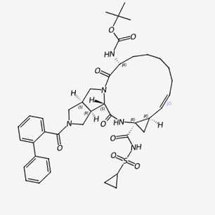 CC(C)(C)OC(=O)N[C@@H]1CCCCC/C=C\[C@H]2C[C@@]2(C(=O)NS(=O)(=O)C2CC2)NC(=O)[C@@H]2[C@H]3CN(C(=O)c4ccccc4-c4ccccc4)C[C@H]3CN2C1=O